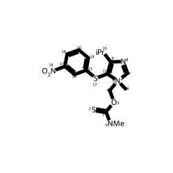 CNC(=S)OC[N+]1(C)C=NC(C(C)C)=C1Sc1cccc([N+](=O)[O-])c1